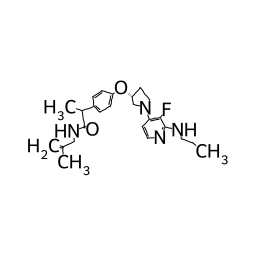 C=C(C)CNC(=O)C(C)c1ccc(O[C@@H]2CCN(c3ccnc(NCCC)c3F)C2)cc1